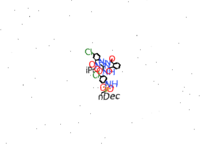 CCCCCCCCCCCCS(=O)(=O)Nc1ccc(Cl)c(NC(=O)C(c2nc3ccc(Cl)cc3c(=O)n2OC(C)C)n2[nH]c(=O)c3ccccc3c2=O)c1